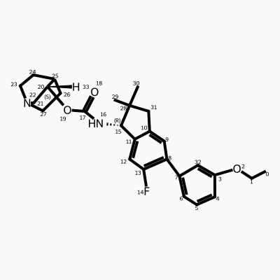 CCOc1cccc(-c2cc3c(cc2F)[C@H](NC(=O)O[C@@H]2CN4CCC2CC4)C(C)(C)C3)c1